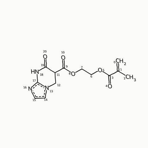 C=C(C)C(=O)OCCOC(=O)C1Cn2ccnc2NC1=O